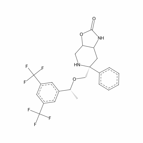 C[C@@H](OC[C@@]1(c2ccccc2)CC2NC(=O)OC2CN1)c1cc(C(F)(F)F)cc(C(F)(F)F)c1